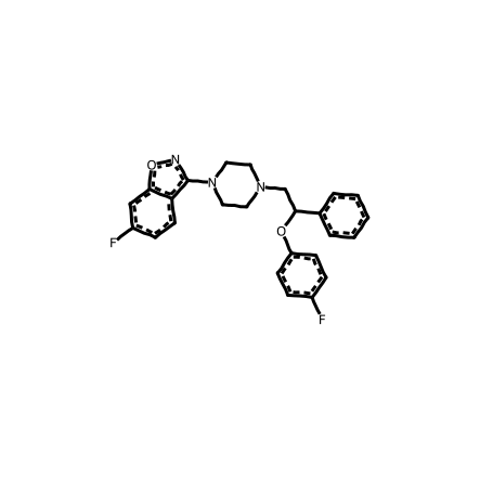 Fc1ccc(OC(CN2CCN(c3noc4cc(F)ccc34)CC2)c2ccccc2)cc1